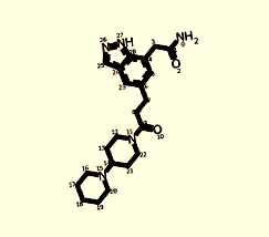 NC(=O)Cc1cc(C[CH]C(=O)N2CCC(N3CCCCC3)CC2)cc2cn[nH]c12